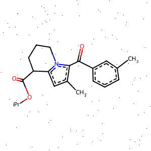 Cc1cccc(C(=O)c2c(C)cc3n2CCCC3C(=O)OC(C)C)c1